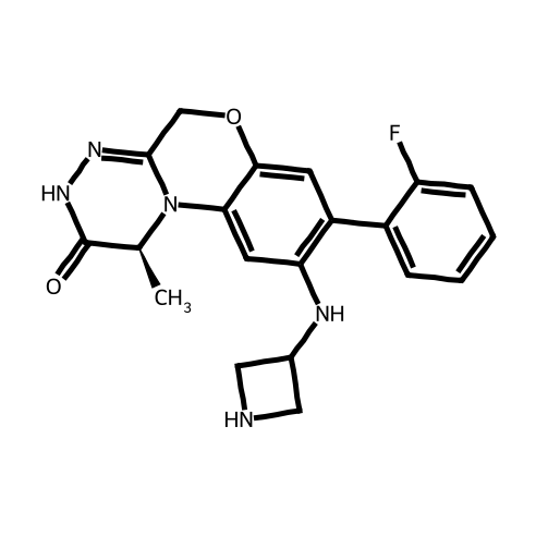 C[C@H]1C(=O)NN=C2COc3cc(-c4ccccc4F)c(NC4CNC4)cc3N21